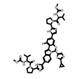 COC(=O)N[C@H](C(=O)N1CCCC1c1ncc(-c2cc(F)c3c(c2)O[C@@H](c2cnc(C4CC4)s2)n2c-3cc3cc(-c4cnc(C5CCCN5C(=O)[C@@H](NC(=O)OC)C(C)C)[nH]4)ccc32)[nH]1)C(C)C